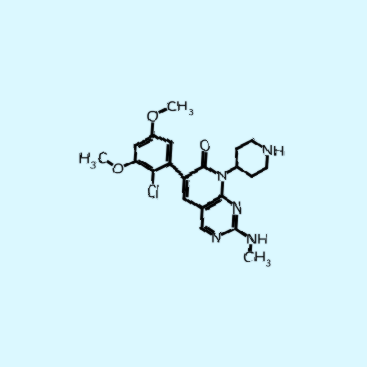 CNc1ncc2cc(-c3cc(OC)cc(OC)c3Cl)c(=O)n(C3CCNCC3)c2n1